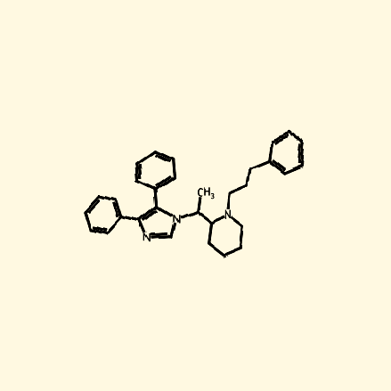 CC(C1CCCCN1CCCc1ccccc1)n1cnc(-c2ccccc2)c1-c1ccccc1